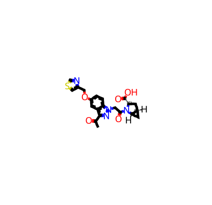 CC(=O)c1nn(CC(=O)N2[C@@H]3C[C@@H]3C[C@H]2C(=O)O)c2ccc(OCc3cscn3)cc12